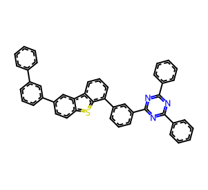 c1ccc(-c2cccc(-c3ccc4sc5c(-c6cccc(-c7nc(-c8ccccc8)nc(-c8ccccc8)n7)c6)cccc5c4c3)c2)cc1